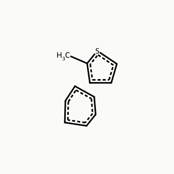 Cc1cccs1.c1ccccc1